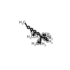 C=C(C)C(=O)OCC(COC(=O)CC(=C)C(=O)OC)(COC(=O)CC(=C)C(=O)OC)COc1ccc(-c2ccc(-c3ccc(C4CCC(CCCCC)CC4)cc3F)cc2OC(=O)C(=C)C)cc1